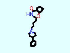 O=C1NCC(CCCCN2CCC(c3ccccc3)CC2)Oc2ccccc21